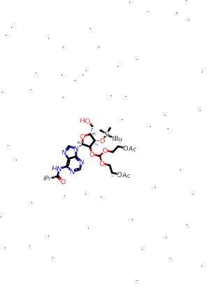 CC(=O)OCCOC(OCCOC(C)=O)OC1[C@@H](O[Si](C)(C)C(C)(C)C)[C@@H](CO)O[C@H]1n1cnc2c(NC(=O)C(C)C)ncnc21